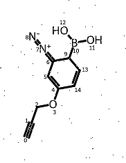 C#CCOC1=CC(=[N+]=[N-])C(B(O)O)C=C1